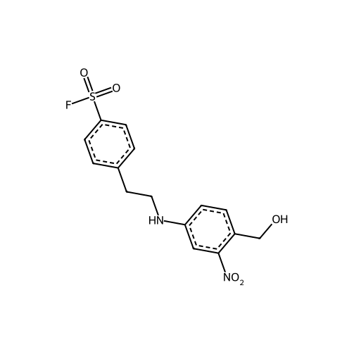 O=[N+]([O-])c1cc(NCCc2ccc(S(=O)(=O)F)cc2)ccc1CO